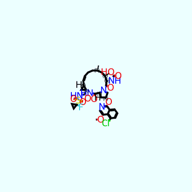 COc1cnc(O[C@@H]2C[C@H]3C(=O)N[C@]4(C(=O)NS(=O)(=O)C5(F)CC5)C[C@H]4C=CCC[C@@H](C)C[C@@H](C)[C@H](NC(=O)O)C(=O)N3C2)c2cccc(Cl)c12